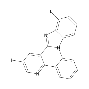 Ic1cnc2c3ccccc3n3c4cccc(I)c4nc3c2c1